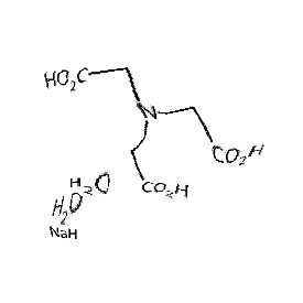 O.O.O=C(O)CN(CC(=O)O)CC(=O)O.[NaH]